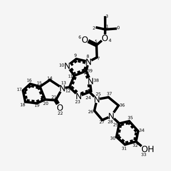 CC(C)(C)OC(=O)Cn1cnc2c(N3Cc4ccccc4C3=O)nc(N3CCN(c4ccc(O)cc4)CC3)nc21